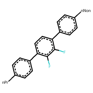 CCCCCCCCCc1ccc(-c2ccc(-c3ccc(CCC)cc3)c(F)c2F)cc1